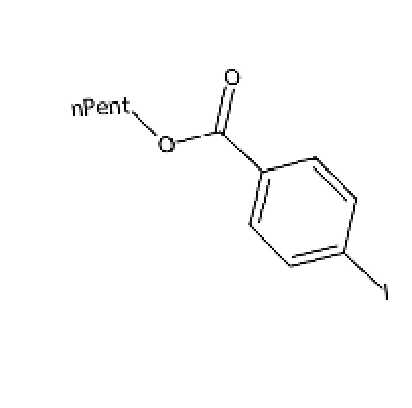 CCCCCOC(=O)c1ccc(I)cc1